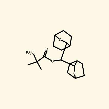 CC(C)(C(=O)O)C(=O)OC(C1CC2CCC1CC2)C1CC2CCC1CC2